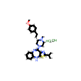 COc1ccc(CC[C@H]2CN(C3=Nc4ccccc4Nc4sc(C(C)C)nc43)CCN2C)cc1.Cl.Cl